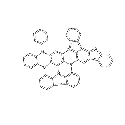 c1ccc(N2c3ccccc3B3c4c2cc2c5c4-n4c6c3cccc6c3cccc(c34)B5c3cc4c5ccccc5sc4c4c5ccccc5n-2c34)cc1